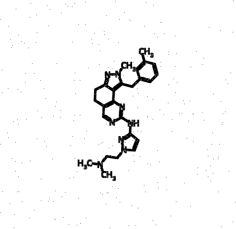 Cc1cccc(Cc2c3c(nn2C)CCc2cnc(Nc4ccn(CCN(C)C)n4)nc2-3)c1